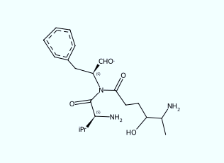 CC(N)C(O)CCC(=O)N(C(=O)[C@@H](N)C(C)C)[C@H]([C]=O)Cc1ccccc1